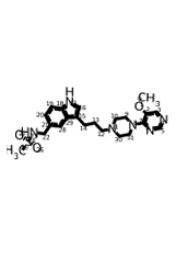 COc1cncnc1N1CCN(CCCc2c[nH]c3ccc(CNS(C)(=O)=O)cc23)CC1